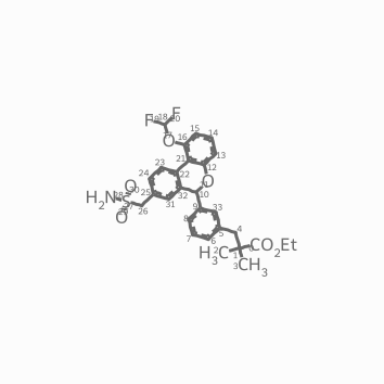 CCOC(=O)C(C)(C)Cc1cccc(C2Oc3cccc(OC(F)F)c3-c3ccc(CS(N)(=O)=O)cc32)c1